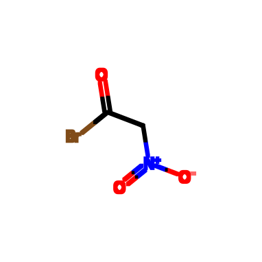 O=C(Br)C[N+](=O)[O-]